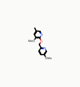 [CH2]c1cnc(OCc2ccc(OC)cn2)c(OC)c1